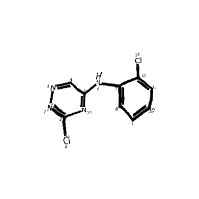 Clc1nncc(Nc2ccccc2Cl)n1